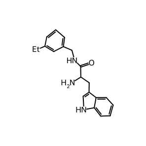 CCc1cccc(CNC(=O)C(N)Cc2c[nH]c3ccccc23)c1